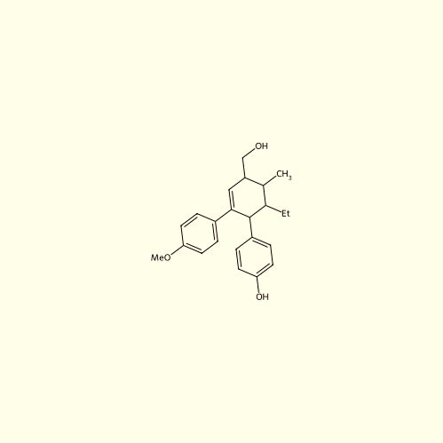 CCC1C(c2ccc(O)cc2)C(c2ccc(OC)cc2)=CC(CO)C1C